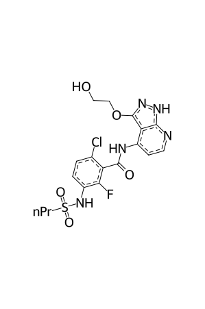 CCCS(=O)(=O)Nc1ccc(Cl)c(C(=O)Nc2ccnc3[nH]nc(OCCO)c23)c1F